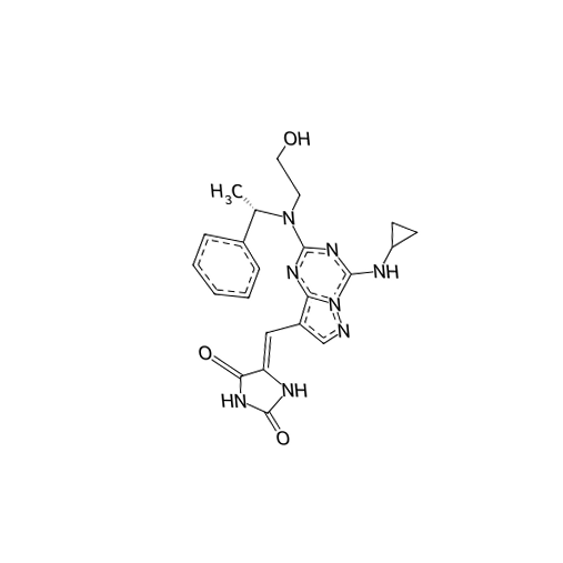 C[C@@H](c1ccccc1)N(CCO)c1nc(NC2CC2)n2ncc(/C=C3\NC(=O)NC3=O)c2n1